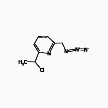 CC(Cl)c1cccc(CN=[N+]=[N-])n1